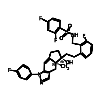 C[C@]12Cc3cnn(-c4ccc(F)cc4)c3C=C1CC[C@@]2(O)CCc1cccc(F)c1CNS(=O)(=O)c1ccc(F)cc1F